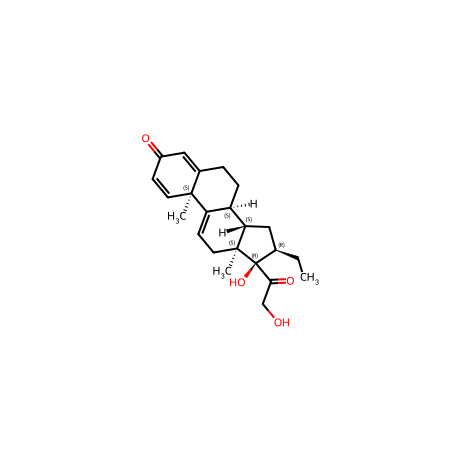 CC[C@@H]1C[C@H]2[C@@H]3CCC4=CC(=O)C=C[C@]4(C)C3=CC[C@]2(C)[C@@]1(O)C(=O)CO